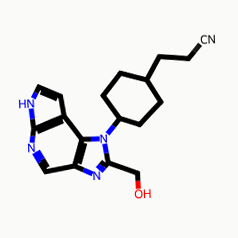 N#CCCC1CCC(n2c(CO)nc3cnc4[nH]ccc4c32)CC1